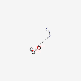 CC/C=C\C/C=C\C/C=C\CCCCCCC[C@@H](O)CC(=O)OC(c1ccccc1)C(O)(c1ccccc1)c1ccccc1